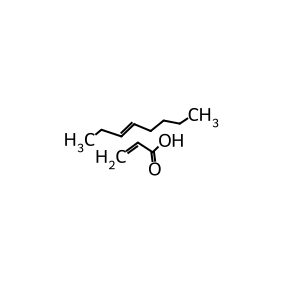 C=CC(=O)O.CCC=CCCCC